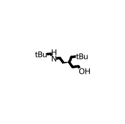 CC(C)(C)CNCC[C@H](CCO)CC(C)(C)C